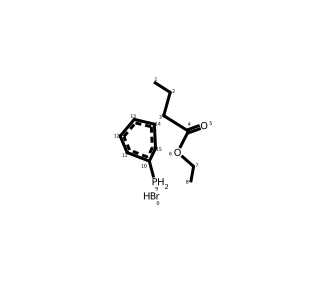 Br.CCCC(=O)OCC.Pc1ccccc1